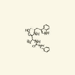 CCC(C)[C@H](NC(=O)NCc1ccccc1)C(=O)N[C@H](CO)Cc1c[nH]c2ccccc12